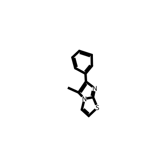 Cc1c(-c2ccccc2)nc2sccn12